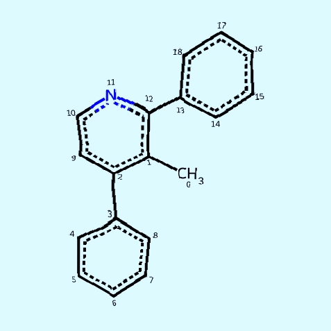 Cc1c(-c2ccccc2)ccnc1-c1ccccc1